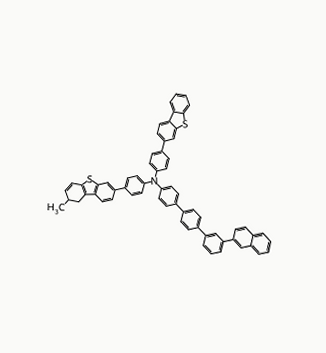 CC1C=Cc2sc3cc(-c4ccc(N(c5ccc(-c6ccc(-c7cccc(-c8ccc9ccccc9c8)c7)cc6)cc5)c5ccc(-c6ccc7c(c6)sc6ccccc67)cc5)cc4)ccc3c2C1